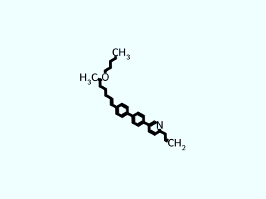 C=CCc1ccc(-c2ccc(-c3ccc(C=CCCCC(C)OCCCCC)cc3)cc2)cn1